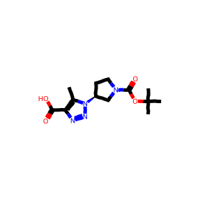 Cc1c(C(=O)O)nnn1[C@H]1CCN(C(=O)OC(C)(C)C)C1